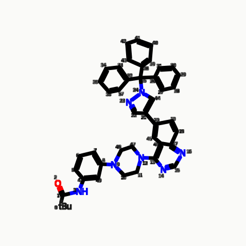 CC(C)(C)C(=O)Nc1cccc(N2CCN(c3ncnc4ccc(-c5cnn(C(c6ccccc6)(c6ccccc6)c6ccccc6)c5)cc34)CC2)c1